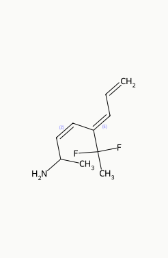 C=C/C=C(\C=C/C(C)N)C(C)(F)F